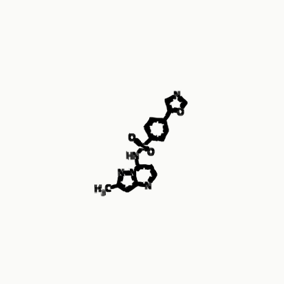 Cc1cc2nccc(NS(=O)(=O)c3ccc(-c4cnco4)cc3)n2n1